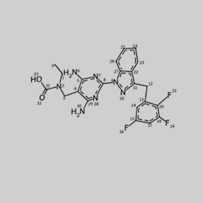 CCN(Cc1c(N)nc(-n2nc(Cc3cc(F)cc(F)c3F)c3ccccc32)nc1N)C(=O)O